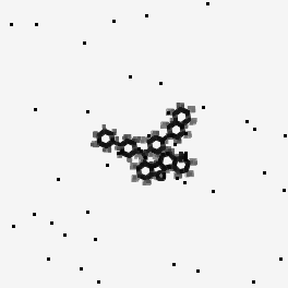 c1ccc(-c2ccc(N(c3ccc(-c4ccc5ccccc5c4)cc3)c3cccc4oc5c6cccnc6ccc5c34)cc2)cc1